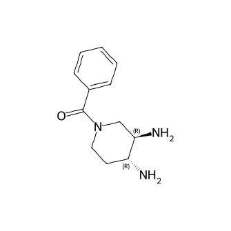 N[C@@H]1CCN(C(=O)c2ccccc2)C[C@H]1N